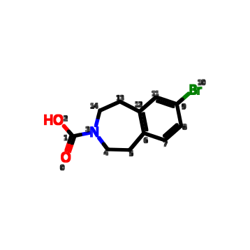 O=C(O)N1CCc2ccc(Br)cc2CC1